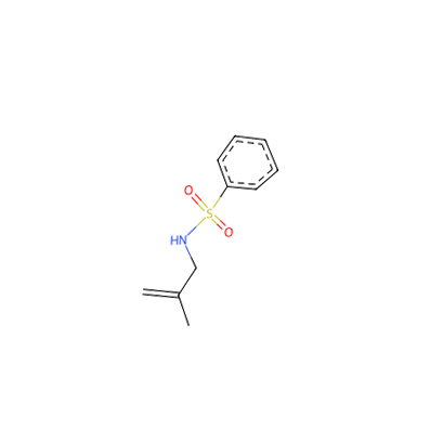 C=C(C)CNS(=O)(=O)c1ccccc1